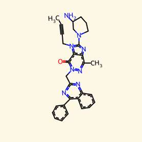 CC#CCn1c(N2CCCC(N)C2)nc2c(C)nn(Cc3nc(-c4ccccc4)c4ccccc4n3)c(=O)c21